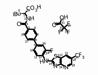 CC[C@H](C)[C@H](NC(=O)c1ccc(-c2ccc(Nc3nc4ncc(C(F)(F)F)cc4s3)c(F)c2)cc1)C(=O)O.O=C(O)C(F)(F)F